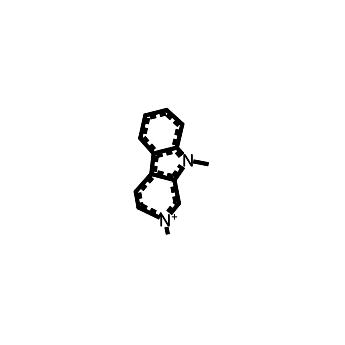 Cn1c2ccccc2c2cc[n+](C)cc21